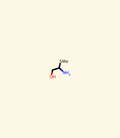 CSC(N)CO